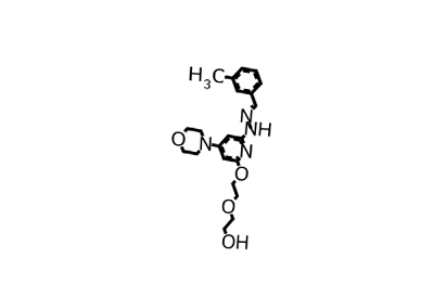 Cc1cccc(C=NNc2cc(N3CCOCC3)cc(OCCOCCO)n2)c1